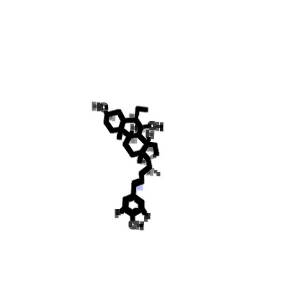 CC[C@@H]1C2C[C@H](O)CCC2(C)[C@H]2CCC3(C)[C@@H]([C@H](C)C/C=C/c4cc(F)c(O)c(F)c4)CC[C@H]3C2[C@@H]1O